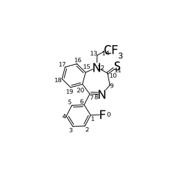 Fc1ccccc1C1=NCC(=S)N(CC(F)(F)F)c2ccccc21